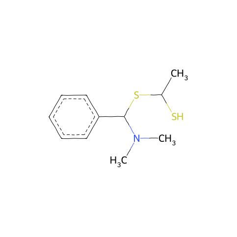 CC(S)SC(c1ccccc1)N(C)C